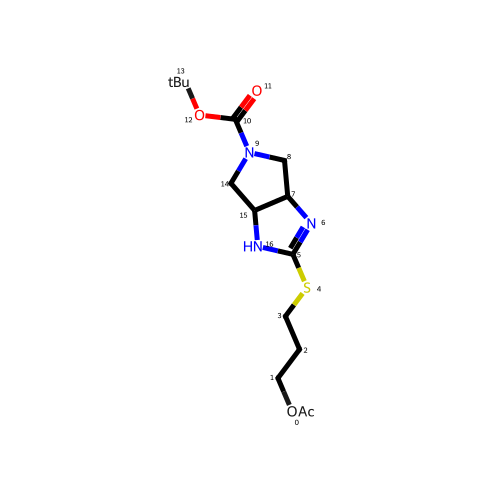 CC(=O)OCCCSC1=NC2CN(C(=O)OC(C)(C)C)CC2N1